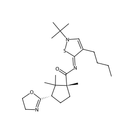 CCCCc1cn(C(C)(C)C)sc1=NC(=O)[C@]1(C)CC[C@H](C2=NCCO2)C1(C)C